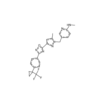 CNc1ccc(Cn2nc(-c3nc(-c4ccc(C5(C(F)(F)F)CC5)cc4)no3)cc2C)cn1